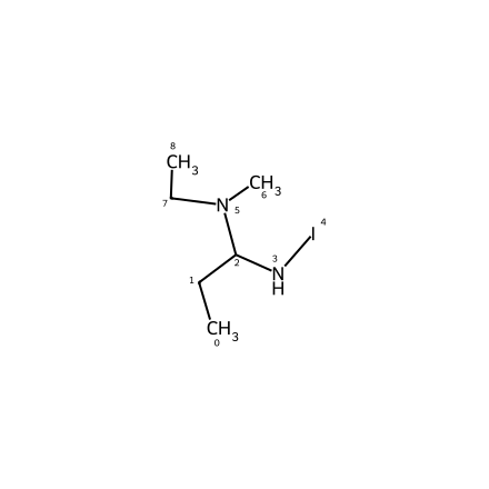 CCC(NI)N(C)CC